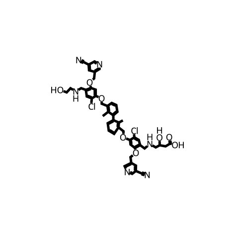 Cc1c(COc2cc(OCc3cncc(C#N)c3)c(CNCCO)cc2Cl)cccc1-c1cccc(COc2cc(OCc3cncc(C#N)c3)c(CNCC(O)CC(=O)O)cc2Cl)c1C